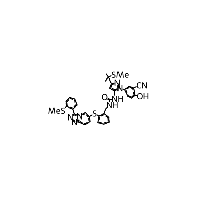 CSc1ccccc1-c1nnc2ccc(Sc3ccccc3CNC(=O)Nc3cc(C(C)(C)SC)nn3-c3ccc(O)c(C#N)c3)cn12